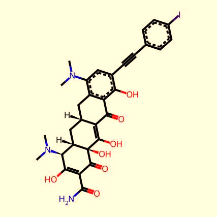 CN(C)c1cc(C#Cc2ccc(I)cc2)c(O)c2c1C[C@H]1C[C@H]3[C@H](N(C)C)C(O)=C(C(N)=O)C(=O)[C@@]3(O)C(O)=C1C2=O